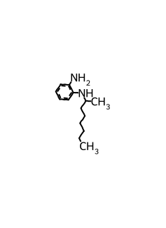 CCCCCCC(C)Nc1ccccc1N